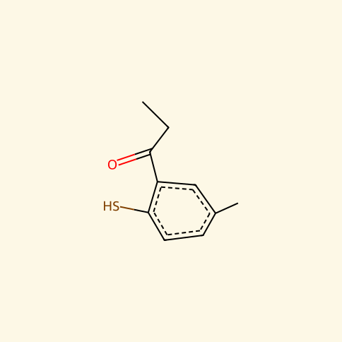 CCC(=O)c1cc(C)ccc1S